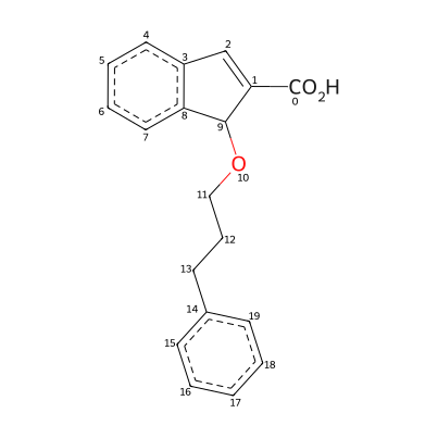 O=C(O)C1=Cc2ccccc2C1OCCCc1ccccc1